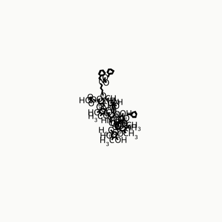 CNC1C(C)[C@H](O[C@@H]2OC(C)[C@@H](O)C(C)C2O)C(COS(=O)(=O)O)O[C@@H]1O[C@@H]1C(C)O[C@@H](O[C@@H]2C(COS(=O)(=O)O)O[C@H](O[C@@H]3C(C)O[C@@H](O[C@H]4C(C)C(NC)[C@@H](OCCCCCN(Cc5ccccc5)C(=O)OCc5ccccc5)O[C@H]4COS(=O)(=O)O)C(O)C3C)C(NC)[C@H]2C)C(O)[C@@H]1OCc1ccccc1